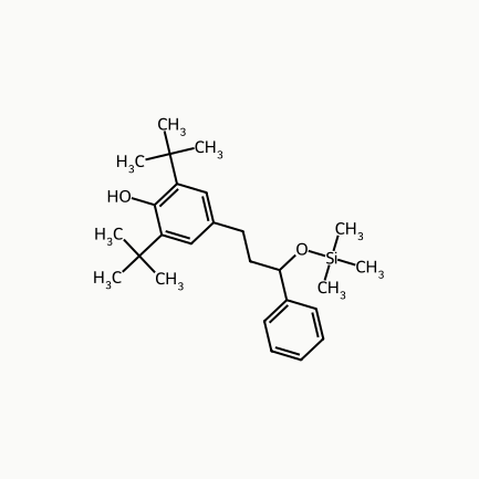 CC(C)(C)c1cc(CCC(O[Si](C)(C)C)c2ccccc2)cc(C(C)(C)C)c1O